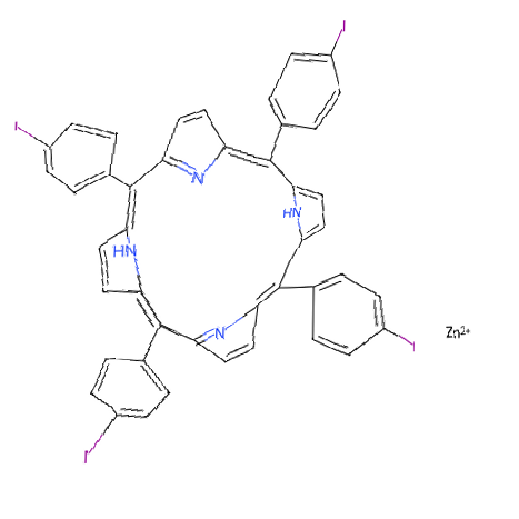 Ic1ccc(-c2c3nc(c(-c4ccc(I)cc4)c4ccc([nH]4)c(-c4ccc(I)cc4)c4nc(c(-c5ccc(I)cc5)c5ccc2[nH]5)C=C4)C=C3)cc1.[Zn+2]